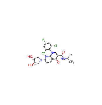 CCC(NC(=O)c1cn(-c2c(Cl)cc(F)cc2Cl)c2nc(N3C[C@@H](O)[C@H](O)C3)ccc2c1=O)C(F)(F)F